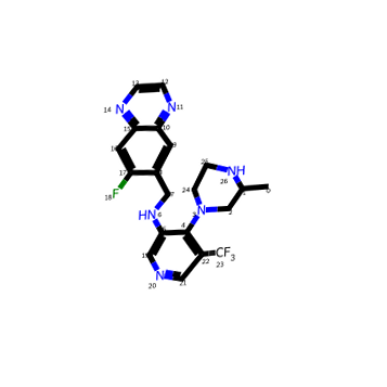 CC1CN(c2c(NCc3cc4nccnc4cc3F)cncc2C(F)(F)F)CCN1